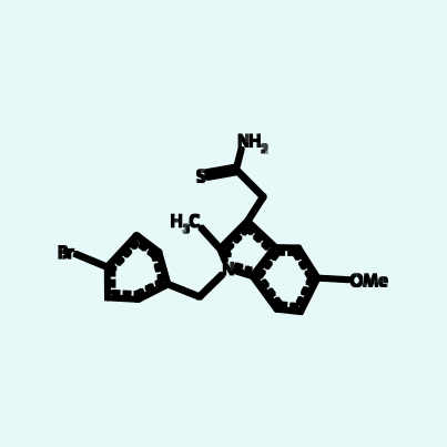 COc1ccc2c(c1)c(CC(N)=S)c(C)n2Cc1ccc(Br)cc1